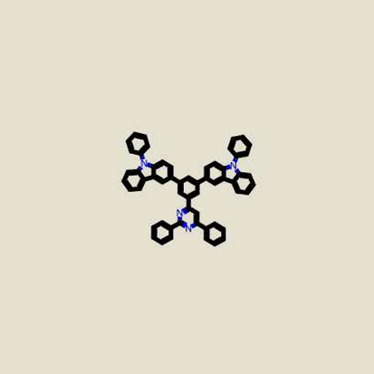 c1ccc(-c2cc(-c3cc(-c4ccc5c(c4)c4ccccc4n5-c4ccccc4)cc(-c4ccc5c(c4)c4ccccc4n5-c4ccccc4)c3)nc(-c3ccccc3)n2)cc1